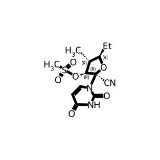 CC[C@H]1O[C@@](C#N)(n2ccc(=O)[nH]c2=O)[C@H](OS(C)(=O)=O)[C@@H]1C